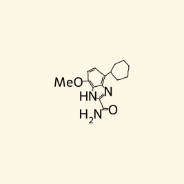 COc1ccc(C2CCCCC2)c2nc(C(N)=O)[nH]c12